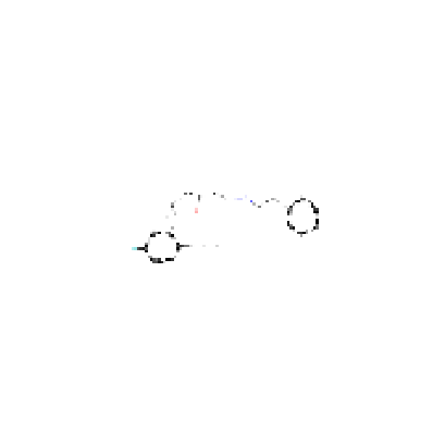 COc1ccc(F)cc1[C@H]1CC[C@@H](CCNCCc2ccccc2)O1